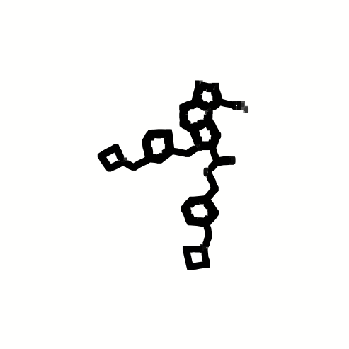 Cc1nnc2ccc3c(cc(C(=O)OCc4cccc(CN5CCC5)c4)n3Cc3cccc(CN4CCC4)c3)n12